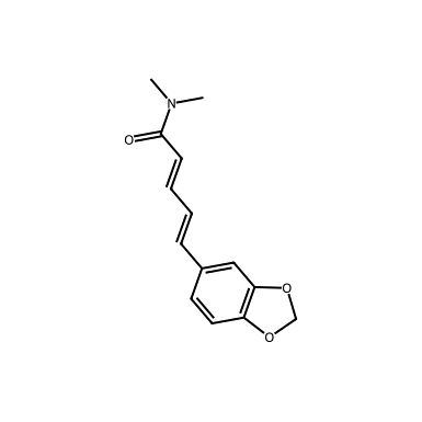 CN(C)C(=O)/C=C/C=Cc1ccc2c(c1)OCO2